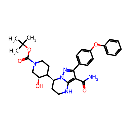 CC(C)(C)OC(=O)N1CCC([C@@H]2CCNc3c(C(N)=O)c(-c4ccc(Oc5ccccc5)cc4)nn32)[C@@H](O)C1